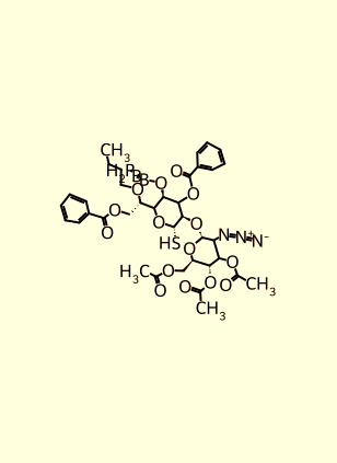 CCCCO[C@@H](COC(=O)c1ccccc1)C1O[C@@H](S)[C@H](O[C@H]2O[C@H](COC(C)=O)[C@@H](OC(C)=O)C(OC(C)=O)C2N=[N+]=[N-])C(OC(=O)c2ccccc2)[C@@H]1OB=BP